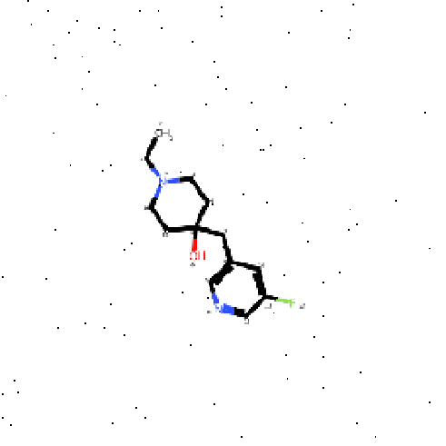 CCN1CCC(O)(Cc2cncc(F)c2)CC1